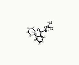 CCC(=O)ONC(=O)c1ncccc1C1CCCCC1